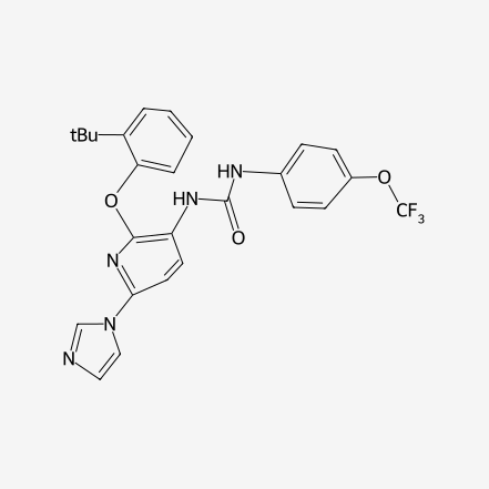 CC(C)(C)c1ccccc1Oc1nc(-n2ccnc2)ccc1NC(=O)Nc1ccc(OC(F)(F)F)cc1